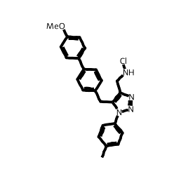 COc1ccc(-c2ccc(Cc3c(CNCl)nnn3-c3ccc(C)cc3)cc2)cc1